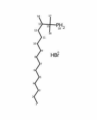 Br.CCCCCCCCCCCCC(C)C(C)(C)P